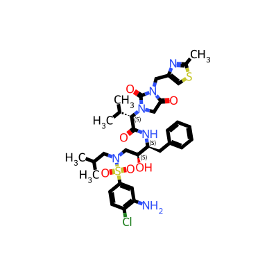 Cc1nc(CN2C(=O)CN([C@H](C(=O)N[C@@H](Cc3ccccc3)[C@@H](O)CN(CC(C)C)S(=O)(=O)c3ccc(Cl)c(N)c3)C(C)C)C2=O)cs1